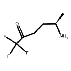 C[C@@H](N)CCC(=O)C(F)(F)F